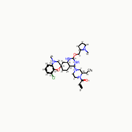 C=CC(=O)N1CCN(C2NC(OCC3CCCN3C)NC3C[C@]4(CCC32)CN(C)c2cccc(Cl)c2O4)CC1CC#N